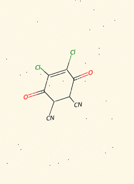 N#CC1C(=O)C(Cl)=C(Cl)C(=O)C1C#N